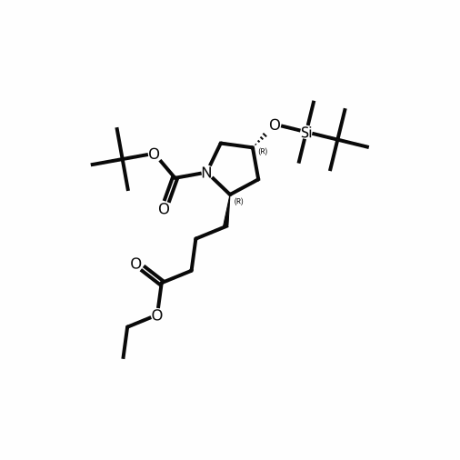 CCOC(=O)CCC[C@@H]1C[C@@H](O[Si](C)(C)C(C)(C)C)CN1C(=O)OC(C)(C)C